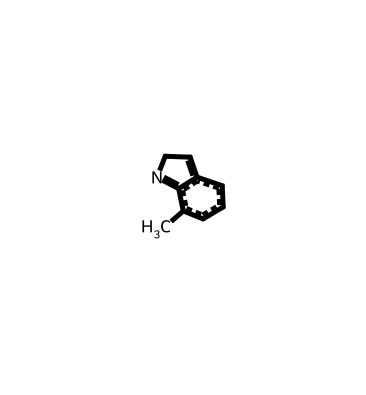 Cc1cccc2c1=NCC=2